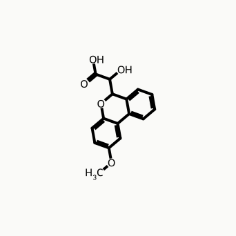 COc1ccc2c(c1)-c1ccccc1C(C(O)C(=O)O)O2